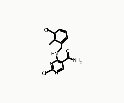 Cc1c(Cl)cccc1CNc1nc(Cl)ncc1C(N)=O